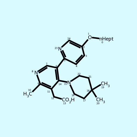 CCCCCCCOc1ccc(-c2cnc(C)c(CC(=O)O)c2N2CCC(C)(C)CC2)nc1